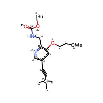 COCCOc1cc(C#C[Si](C)(C)C)cnc1CNC(=O)OC(C)(C)C